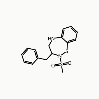 CS(=O)(=O)N1Sc2ccccc2NCC1Cc1ccccc1